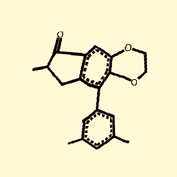 Cc1cc(C)cc(-c2c3c(cc4c2OCCO4)C(=O)C(C)C3)c1